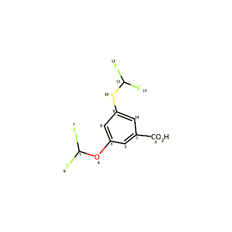 O=C(O)c1cc(OC(F)F)cc(SC(F)F)c1